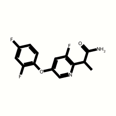 CC(C(N)=O)c1ncc(Oc2ccc(F)cc2F)cc1F